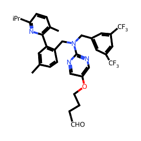 Cc1ccc(CN(Cc2cc(C(F)(F)F)cc(C(F)(F)F)c2)c2ncc(OCCCC=O)cn2)c(-c2nc(C(C)C)ccc2C)c1